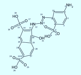 Nc1ccc(S(=O)(=O)O)c(N=NNc2c(S(=O)(=O)O)cc3cc(S(=O)(=O)O)ccc3c2O)c1